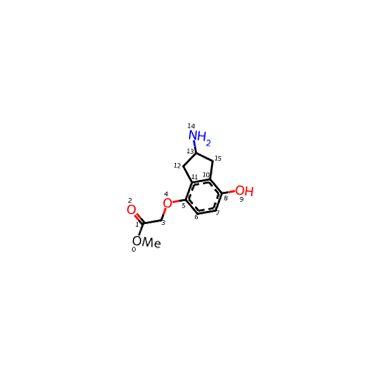 COC(=O)COc1ccc(O)c2c1CC(N)C2